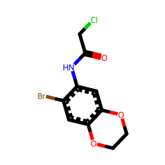 O=C(CCl)Nc1cc2c(cc1Br)OCCO2